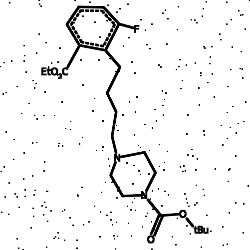 CCOC(=O)c1cccc(F)c1CCCCN1CCN(C(=O)OC(C)(C)C)CC1